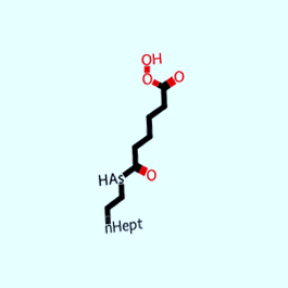 CCCCCCCCC[AsH]C(=O)CCCCC(=O)OO